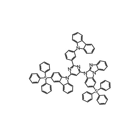 c1ccc(S(c2ccccc2)(c2ccccc2)c2ccc3c(c2)c2ccccc2n3-c2cc(-n3c4ccc(S(c5ccccc5)(c5ccccc5)c5ccccc5)cc4n4c5ccccc5nc34)nc(-c3cccc(-n4c5ccccc5c5ccccc54)c3)n2)cc1